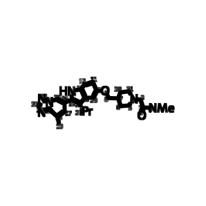 CNC(=O)CN1CCC(COc2ccc3[nH]c(-c4cc(C)c5ncnn5c4)c(C(C)C)c3c2)CC1